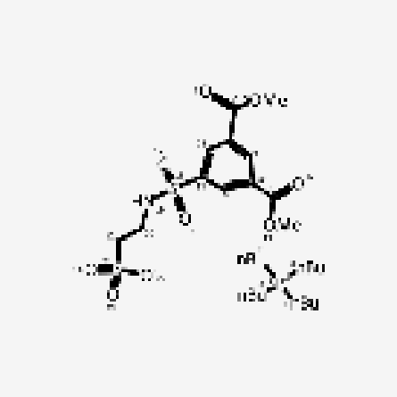 CCCC[P+](CCCC)(CCCC)CCCC.COC(=O)c1cc(C(=O)OC)cc(S(=O)(=O)NCCS(=O)(=O)[O-])c1